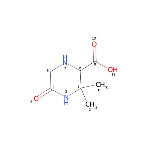 CC1(C)NC(=O)CNC1C(=O)O